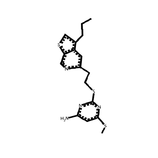 CCCc1csc2cnc(CCSc3nc(N)cc(SC)n3)cc12